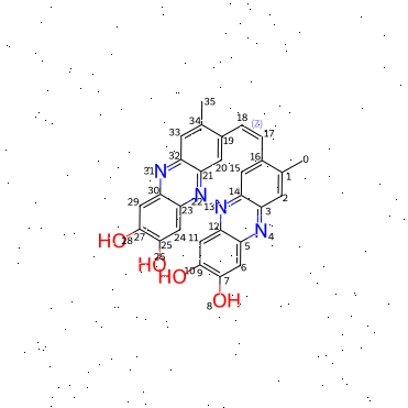 Cc1cc2nc3cc(O)c(O)cc3nc2cc1/C=C\c1cc2nc3cc(O)c(O)cc3nc2cc1C